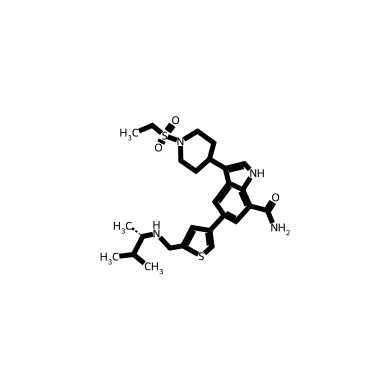 CCS(=O)(=O)N1CCC(c2c[nH]c3c(C(N)=O)cc(-c4csc(CN[C@@H](C)C(C)C)c4)cc23)CC1